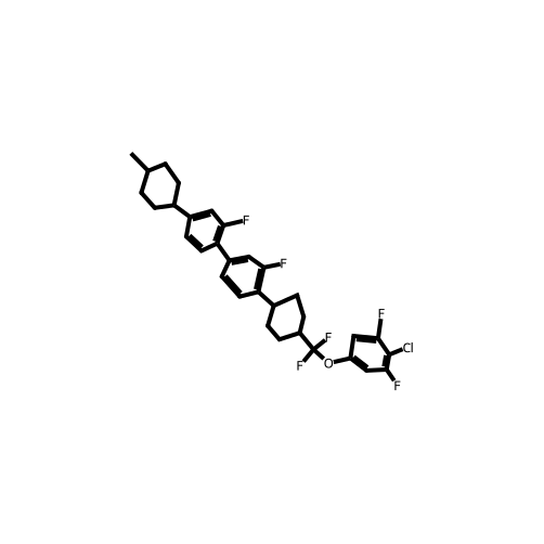 CC1CCC(c2ccc(-c3ccc(C4CCC(C(F)(F)Oc5cc(F)c(Cl)c(F)c5)CC4)c(F)c3)c(F)c2)CC1